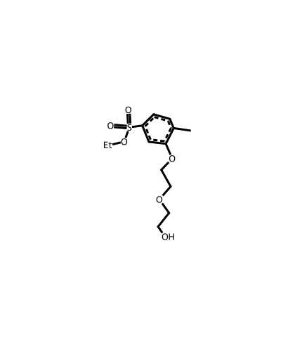 CCOS(=O)(=O)c1ccc(C)c(OCCOCCO)c1